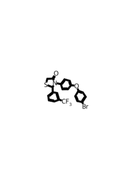 O=C1CSC(c2cccc(C(F)(F)F)c2)N1c1ccc(Oc2ccc(Br)cc2)cc1